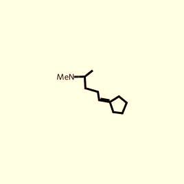 CNC(C)CCC=C1CCCC1